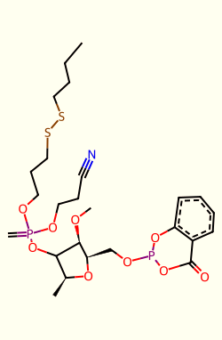 C=P(OCCC#N)(OCCCSSCCCC)OC1[C@H](C)O[C@H](COP2OC(=O)c3ccccc3O2)[C@@H]1OC